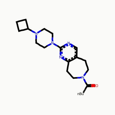 CCCCC(=O)N1CCc2cnc(N3CCN(C4CCC4)CC3)nc2CC1